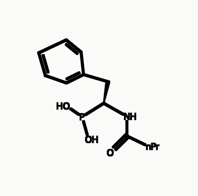 CCCC(=O)N[C@H](Cc1ccccc1)P(O)O